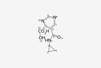 O=C(NC1CC1)c1cncnc1.O=C(O)O